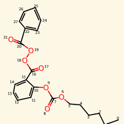 CCCCCCOC(=O)Oc1ccccc1C(=O)OOC(=O)c1ccccc1